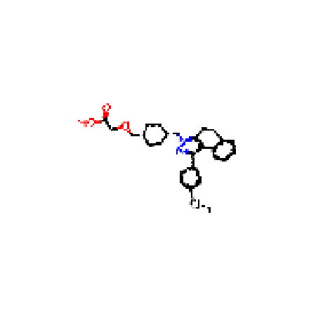 Cc1ccc(-c2nn(C[C@H]3CC[C@H](COCC(=O)O)CC3)c3c2-c2ccccc2CC3)cc1